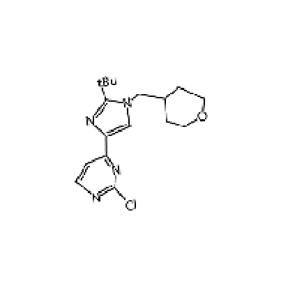 CC(C)(C)c1nc(-c2ccnc(Cl)n2)cn1CC1CCOCC1